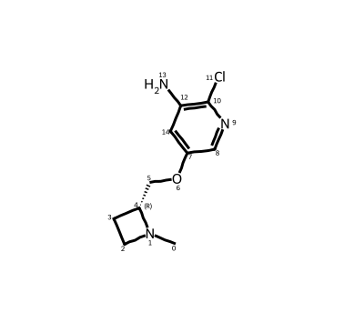 CN1CC[C@@H]1COc1cnc(Cl)c(N)c1